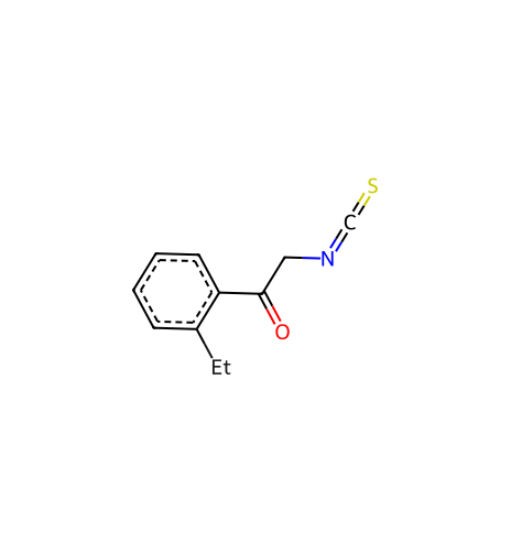 CCc1ccccc1C(=O)CN=C=S